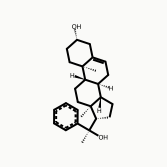 C[C@]12CC[C@H]3[C@@H](CC=C4C[C@@H](O)CC[C@@]43C)[C@@H]1CC[C@@H]2[C@@](C)(O)c1ccccc1